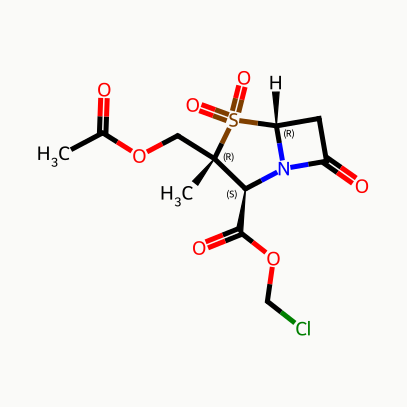 CC(=O)OC[C@@]1(C)[C@H](C(=O)OCCl)N2C(=O)C[C@H]2S1(=O)=O